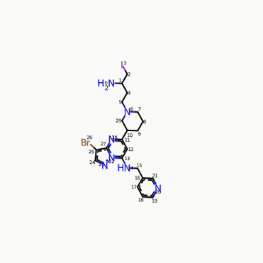 NC(CI)CCN1CCCC(c2cc(NCc3cccnc3)n3ncc(Br)c3n2)C1